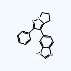 c1ccc(-c2nn3c(c2-c2ccc4nc[nH]c4c2)CCC3)cc1